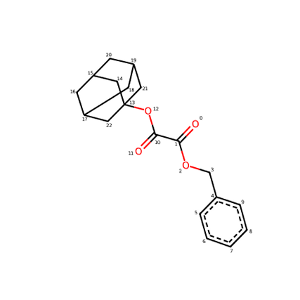 O=C(OCc1ccccc1)C(=O)OC12CC3CC(CC(C3)C1)C2